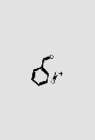 O=[C]c1ccccc1.[CH]=O